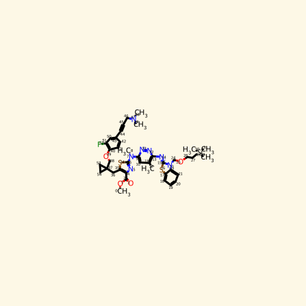 COC(=O)c1nc(N(C)c2cc(C)c(/N=c3\sc4ccccc4n3COCC[Si](C)(C)C)nn2)sc1CC1(COc2ccc(C#CCN(C)C)cc2F)CC1